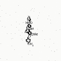 COc1cc2c(Nc3ccc(NC(=O)c4ccncn4)cc3F)ncnc2cc1OCC1CCN(C)CC1